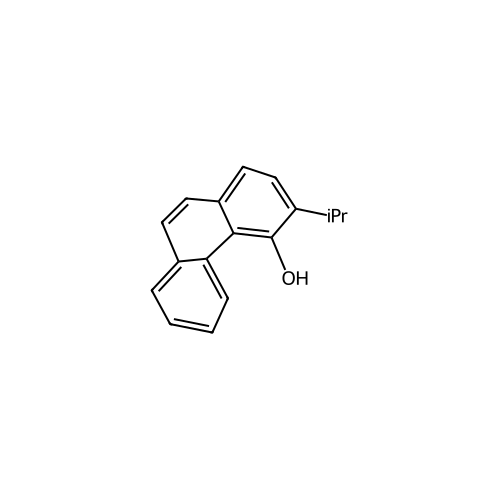 CC(C)c1ccc2ccc3ccccc3c2c1O